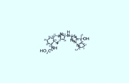 Cc1csc(C(C)(O)c2nnc(Nc3ccn(Cc4cccc(NC(=O)O)c4F)n3)s2)n1